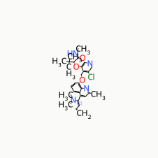 C=C/C=C(/c1cc(C)nc2c(OCc3c(Cl)cncc3OC(C(=O)NC)C(C)(C)C)cccc12)N(C)C